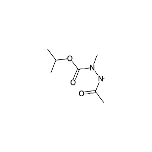 CC(=O)[N]N(C)C(=O)OC(C)C